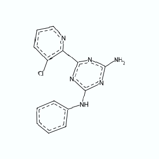 Nc1nc(Nc2ccccc2)nc(-c2ncccc2Cl)n1